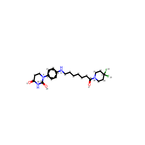 O=C1CCN(c2ccc(NCCCCCCC(=O)N3CCC(F)(F)CC3)cc2)C(=O)N1